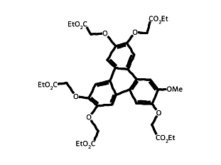 CCOC(=O)COc1cc2c(cc1OC)c1cc(OCC(=O)OCC)c(OCC(=O)OCC)cc1c1cc(OCC(=O)OCC)c(OCC(=O)OCC)cc21